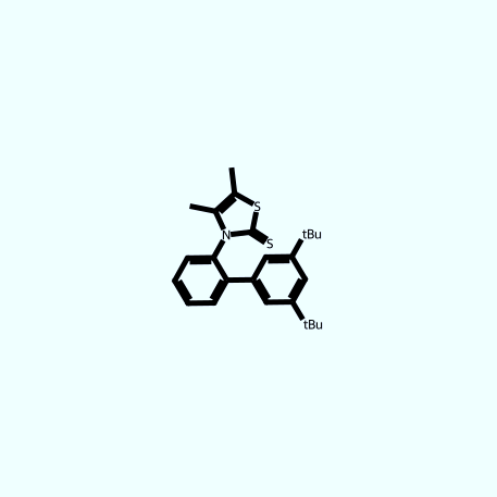 Cc1sc(=S)n(-c2ccccc2-c2cc(C(C)(C)C)cc(C(C)(C)C)c2)c1C